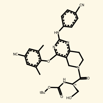 Cc1cc(C#N)cc(C)c1Oc1nc(Nc2ccc(C#N)cc2)nc2c1CN(C(=O)[C@@H](CO)NC(=O)OC(C)(C)C)CC2